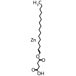 CCCCCCCCCCCCCCC=COC(=O)CCC(=O)O.[Zn]